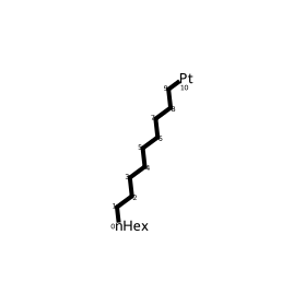 CCCCCCCCCCCCCC[CH2][Pt]